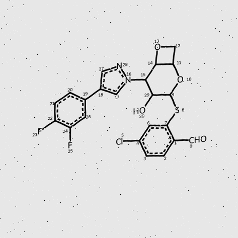 O=Cc1ccc(Cl)cc1SC1OC2COC2C(n2cc(-c3ccc(F)c(F)c3)cn2)C1O